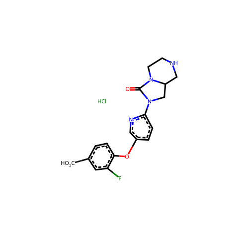 Cl.O=C(O)c1ccc(Oc2ccc(N3CC4CNCCN4C3=O)nc2)c(F)c1